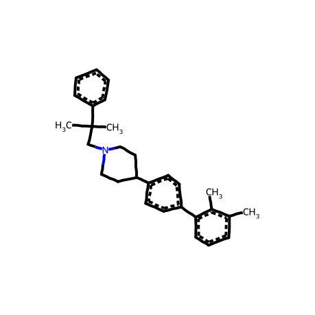 Cc1cccc(-c2ccc(C3CCN(CC(C)(C)c4ccccc4)CC3)cc2)c1C